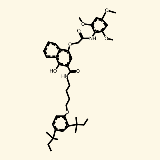 CCC(C)(C)c1ccc(OCCCCNC(=O)c2cc(OCC(=O)Nc3c(OC)cc(OC)cc3OC)c3ccccc3c2O)c(C(C)(C)CC)c1